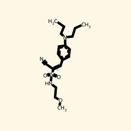 CCCN(CCC)c1ccc(/C=C(\C#N)S(=O)(=O)NCCOC)cc1